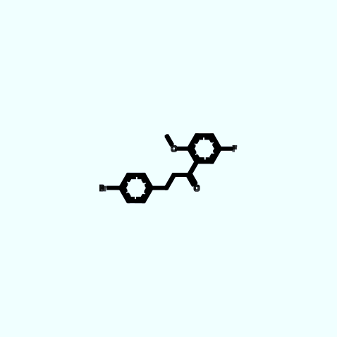 COc1ccc(F)cc1C(=O)CCc1ccc(Br)cc1